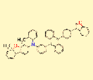 CC1C=CC=CC1N(c1cccc(-c2c3ccccc3c(-c3ccc(-c4coc5c4CCC=C5)cc3)c3ccccc23)c1)c1ccc2c(c1)OC1(C)C=CC=CC21